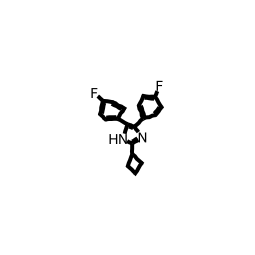 Fc1ccc(-c2nc(C3CCC3)[nH]c2-c2ccc(F)cc2)cc1